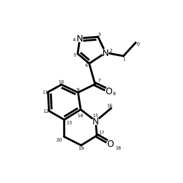 CCn1cncc1C(=O)c1cccc2c1N(C)C(=O)CC2